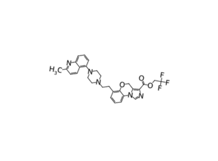 Cc1ccc2c(N3CCN(CCc4cccc5c4OCc4c(C(=O)OCC(F)(F)F)ncn4-5)CC3)cccc2n1